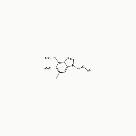 CCCOCn1ccc2c(COC(C)=O)c(OC)c(F)cc21